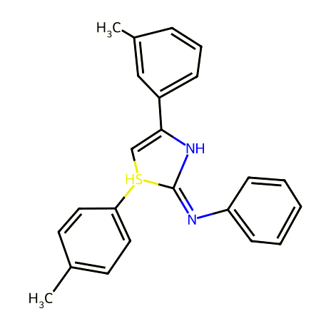 Cc1ccc([SH]2C=C(c3cccc(C)c3)NC2=Nc2ccccc2)cc1